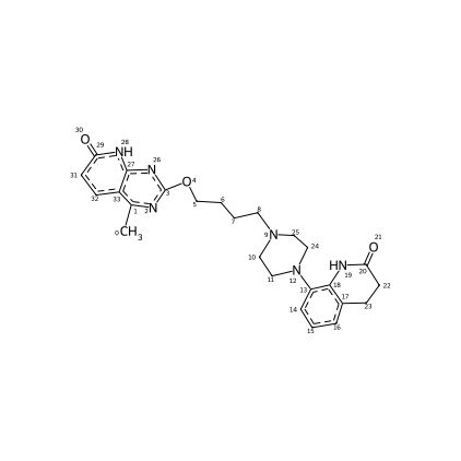 Cc1nc(OCCCCN2CCN(c3cccc4c3NC(=O)CC4)CC2)nc2[nH]c(=O)ccc12